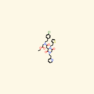 CCOC(=O)CN(CCc1ccc(Cl)cc1)C(=O)CC1C(=O)N(CCc2ccccn2)CC(=O)N1CCc1cccs1